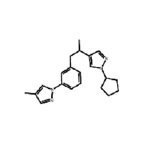 Cc1cnn(-c2cccc(CC(C)c3cnn(C4CCCC4)c3)c2)c1